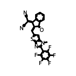 Cn1c(-c2c(F)c(F)c(F)c(F)c2F)nc2sc(/C=C3\C(=O)c4ccccc4C3=C(C#N)C#N)cc21